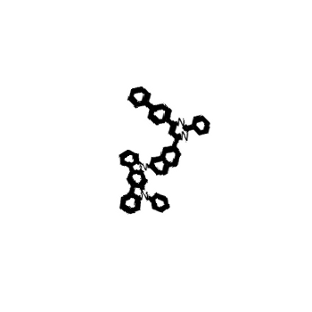 c1ccc(-c2ccc(-c3cc(-c4ccc5ccc(-n6c7ccccc7c7cc8c9ccccc9n(-c9ccccc9)c8cc76)cc5c4)nc(-c4ccccc4)n3)cc2)cc1